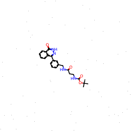 CC(C)(C)OC(=O)NCCC(=O)NCc1cccc(-c2n[nH]c(=O)c3ccccc23)c1